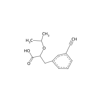 C#Cc1cccc(CC(OC(C)C)C(=O)O)c1